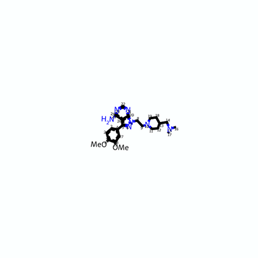 COc1ccc(-c2nn(CCN3CCC(CN(C)C)CC3)c3ncnc(N)c23)cc1OC